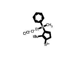 CC[Si](C)(C1=CC[C]([Ti+3])=C1C(C)(C)C)c1ccccc1.[Cl-].[Cl-].[Cl-]